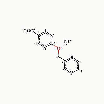 O=C([O-])c1ccc(OCc2ccccc2)cc1.[Na+]